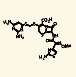 CON=C(C(=O)NC1C(=O)N2C(C(=O)O)=C(SCSc3cc(N)nc(N)n3)CSC12)c1csc(N)n1